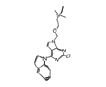 C[Si](C)(C)CCOCn1ccc2c(-n3ccc4ccccc43)nc(Cl)nc21